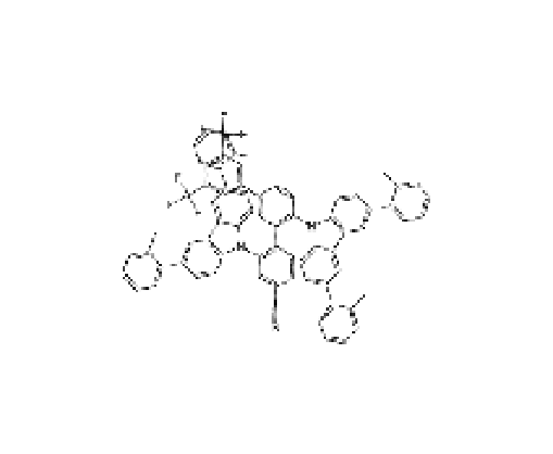 Cc1ccccc1-c1ccc2c(c1)c1cc(-c3ccccc3C)ccc1n2-c1ccc(-c2cc(C(F)(F)F)cc(C(F)(F)F)c2)cc1-c1ccc(C#N)cc1-n1c2ccc(-c3ccccc3C)cc2c2cc(-c3ccccc3C)ccc21